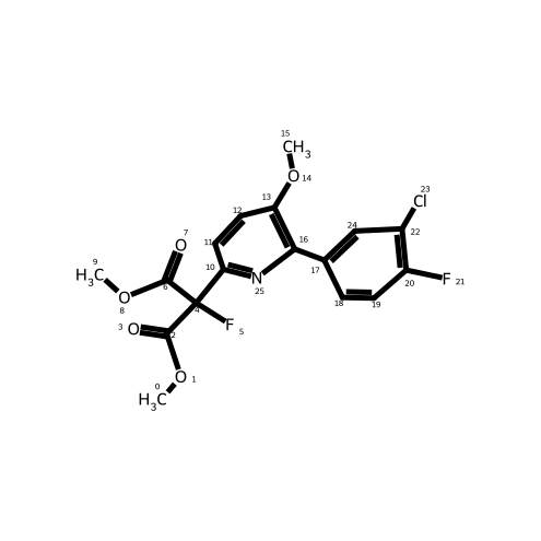 COC(=O)C(F)(C(=O)OC)c1ccc(OC)c(-c2ccc(F)c(Cl)c2)n1